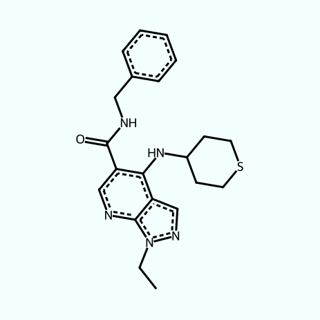 CCn1ncc2c(NC3CCSCC3)c(C(=O)NCc3ccccc3)cnc21